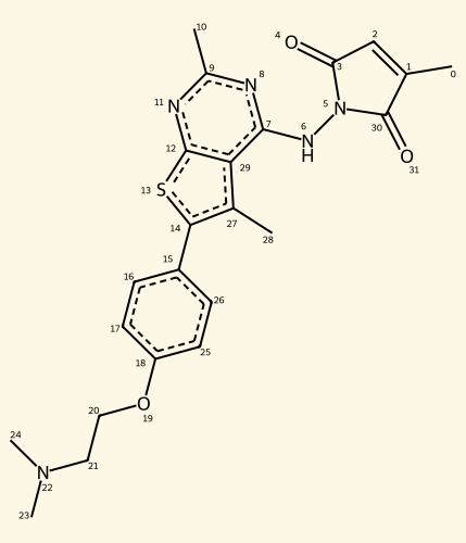 CC1=CC(=O)N(Nc2nc(C)nc3sc(-c4ccc(OCCN(C)C)cc4)c(C)c23)C1=O